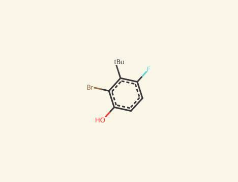 CC(C)(C)c1c(F)ccc(O)c1Br